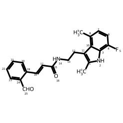 Cc1[nH]c2c(F)ccc(C)c2c1CCNC(=O)/C=C/c1ccccc1C=O